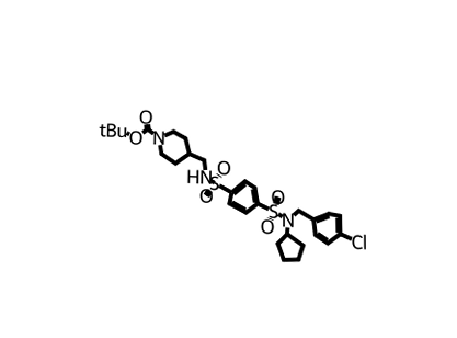 CC(C)(C)OC(=O)N1CCC(CNS(=O)(=O)c2ccc(S(=O)(=O)N(Cc3ccc(Cl)cc3)C3CCCC3)cc2)CC1